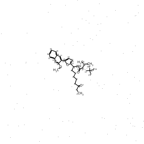 CCC(=O)CCCCCC(NC(=O)[C@@H](CC(F)(F)F)N(C)C)c1ncc(-c2cc3ccccc3nc2OC)o1